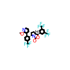 COc1ncccc1-c1ccc(C(F)(F)F)cc1[C@@H]1CC[C@H]2[C@@H](c3cc(C(F)(F)F)cc(C(F)(F)F)c3)OC(=O)N12